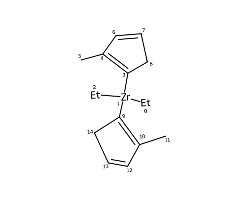 C[CH2][Zr]([CH2]C)([C]1=C(C)C=CC1)[C]1=C(C)C=CC1